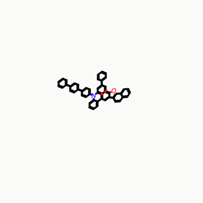 c1ccc(-c2ccc(-c3ccc(N(c4cccc(-c5ccccc5)c4)c4ccccc4-c4ccc5oc6c7ccccc7ccc6c5c4)cc3)cc2)cc1